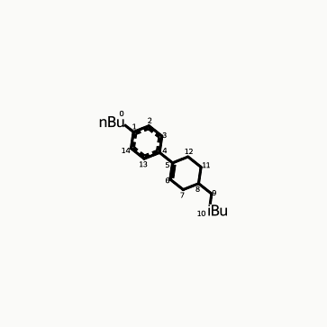 CCCCc1ccc(C2=CCC(CC(C)CC)CC2)cc1